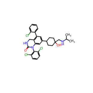 CC(C)NCC1(O)CCC(c2cc(-c3ccccc3Cl)c3c(c2)N(c2c(Cl)cccc2Cl)C(=O)NC3)CC1